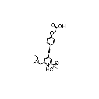 CCN(C)Cc1cc(C#Cc2ccc(OCC(=O)O)cc2)cc(P(C)(=O)O)n1